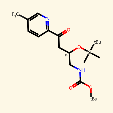 CC(C)(C)OC(=O)NC[C@@H](CC(=O)c1ccc(C(F)(F)F)cn1)O[Si](C)(C)C(C)(C)C